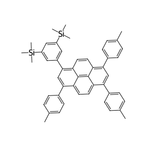 Cc1ccc(-c2cc(-c3ccc(C)cc3)c3ccc4c(-c5cc([Si](C)(C)C)cc([Si](C)(C)C)c5)cc(-c5ccc(C)cc5)c5ccc2c3c54)cc1